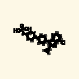 O=P(O)(O)CC1CCC(c2ccc(-n3c(C4CC4)nc4c(Cl)ncnc43)cc2)CC1